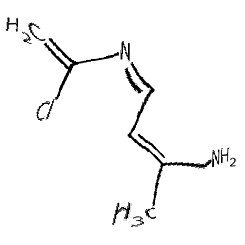 C=C(Cl)/N=C\C=C(\C)N